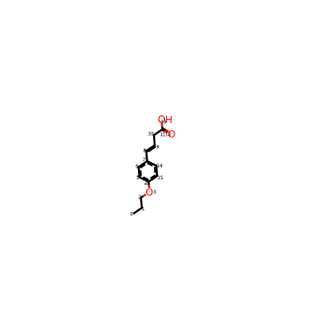 CCCOc1ccc(C=CCC(=O)O)cc1